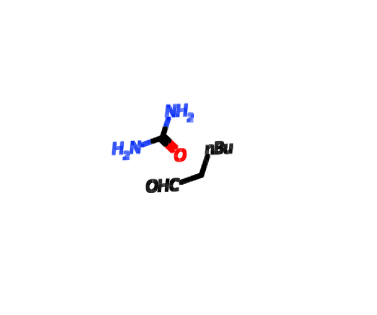 CCCCCC=O.NC(N)=O